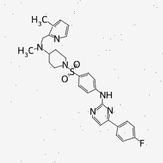 Cc1cccnc1CN(C)C1CCN(S(=O)(=O)c2ccc(Nc3nccc(-c4ccc(F)cc4)n3)cc2)CC1